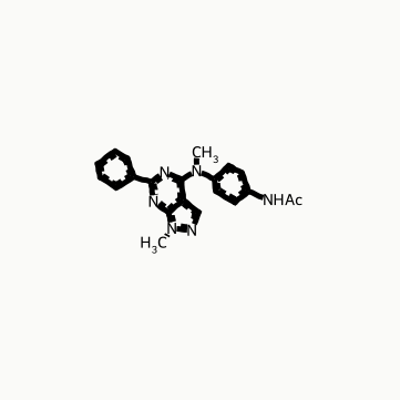 CC(=O)Nc1ccc(N(C)c2nc(-c3ccccc3)nc3c2cnn3C)cc1